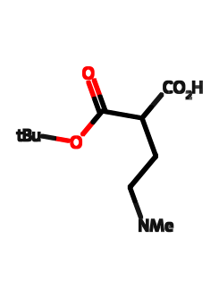 CNCCC(C(=O)O)C(=O)OC(C)(C)C